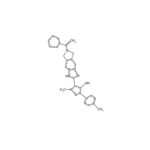 C=C(c1ccccc1)N1Cc2cc3nc(-c4c(O)c(-c5ccc(C)cc5)nn4C)[nH]c3cc2C1